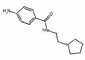 Nc1ccc(C(=O)NCCN2CCCC2)cc1